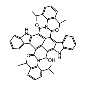 CC(C)c1cccc(C(C)C)c1N1C(=O)c2c3[nH]c4ccccc4c3c3c4c(c5[nH]c6ccccc6c5c(c24)C1=O)C(O)N(c1c(C(C)C)cccc1C(C)C)C3=O